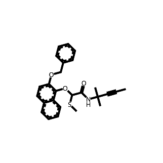 CC#CC(C)(C)NC(=O)C(Oc1c(OCc2ccccc2)ccc2ccccc12)SC